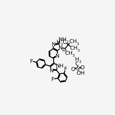 CS(=O)(=O)O.C[C@@H](n1c(N)nc2ccc(-c3[nH]c(-c4c(F)cccc4F)nc3-c3ccc(F)cc3)nc21)C(C)(C)C